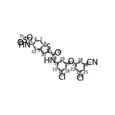 CS(=O)(=O)Nc1ccc2sc(C(=O)Nc3cc(Cl)cc(Oc4cc(Cl)cc(C#N)c4)c3)cc2c1